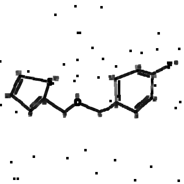 Fc1ccc(COCc2cccs2)cc1